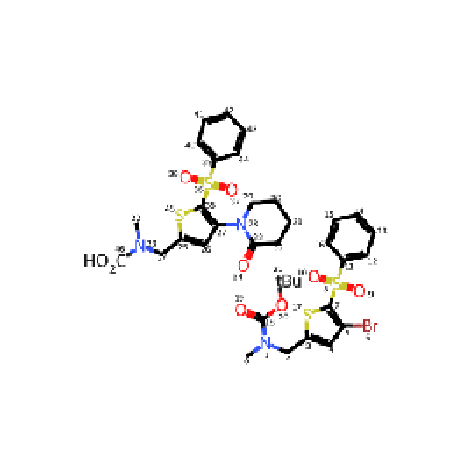 CN(Cc1cc(Br)c(S(=O)(=O)c2ccccc2)s1)C(=O)OC(C)(C)C.CN(Cc1cc(N2CCCCC2=O)c(S(=O)(=O)c2ccccc2)s1)C(=O)O